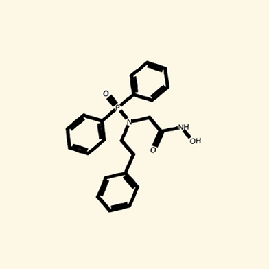 O=C(CN(CCc1ccccc1)P(=O)(c1ccccc1)c1ccccc1)NO